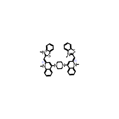 CN1/C(=C/c2sc3ccccc3[n+]2C)C=C(N2CCN(C3=C/C(=C\c4sc5ccccc5[n+]4C)N(C)c4ccccc43)CC2)c2ccccc21